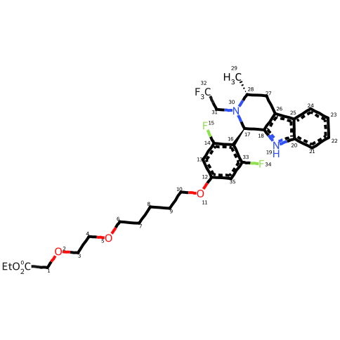 CCOC(=O)COCCOCCCCCOc1cc(F)c([C@@H]2c3[nH]c4ccccc4c3C[C@@H](C)N2CC(F)(F)F)c(F)c1